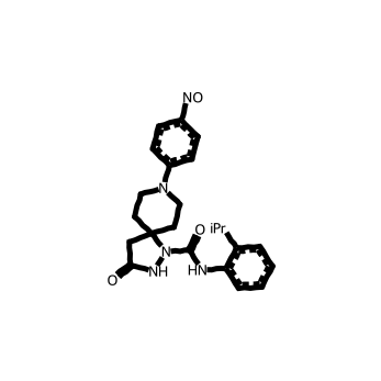 CC(C)c1ccccc1NC(=O)N1NC(=O)CC12CCN(c1ccc(N=O)cc1)CC2